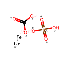 O=C(O)O.O=S(=O)(O)O.[Fe].[La]